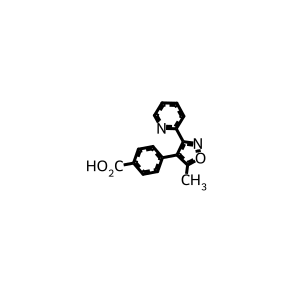 Cc1onc(-c2ccccn2)c1-c1ccc(C(=O)O)cc1